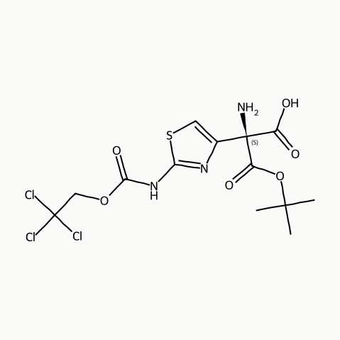 CC(C)(C)OC(=O)[C@@](N)(C(=O)O)c1csc(NC(=O)OCC(Cl)(Cl)Cl)n1